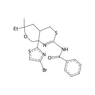 CCC1(C)CC2CSC(NC(=O)c3ccccc3)=NC2(c2nc(Br)cs2)CO1